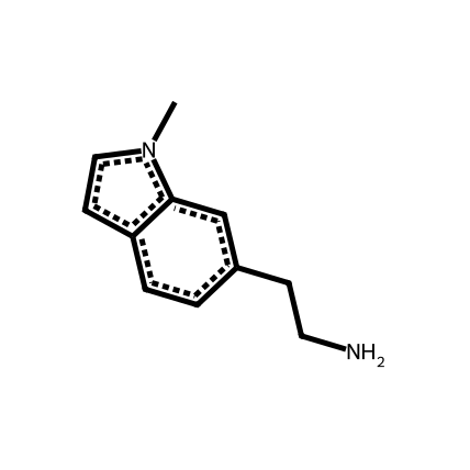 Cn1ccc2ccc(CCN)cc21